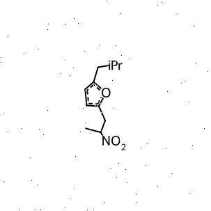 CC(C)Cc1ccc(CC(C)[N+](=O)[O-])o1